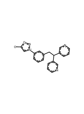 [O-]c1c[n+](-c2cccc(CC(c3cccnc3)c3cccnc3)c2)no1